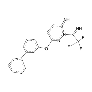 N=C(n1nc(Oc2cccc(-c3ccccc3)c2)ccc1=N)C(F)(F)F